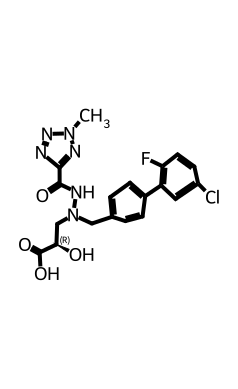 Cn1nnc(C(=O)NN(Cc2ccc(-c3cc(Cl)ccc3F)cc2)C[C@@H](O)C(=O)O)n1